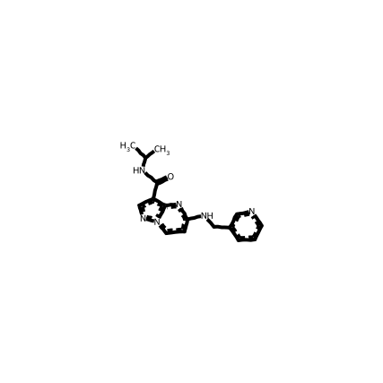 CC(C)NC(=O)c1cnn2ccc(NCc3cccnc3)nc12